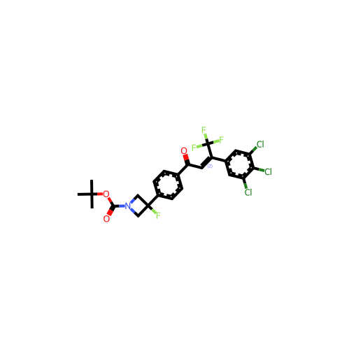 CC(C)(C)OC(=O)N1CC(F)(c2ccc(C(=O)/C=C(/c3cc(Cl)c(Cl)c(Cl)c3)C(F)(F)F)cc2)C1